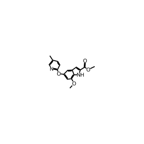 COC(=O)c1cc2cc(Oc3ccc(C)cn3)cc(OC)c2[nH]1